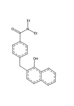 CCN(CC)C(=O)c1ccc(Cc2ccc3ccccc3c2O)cc1